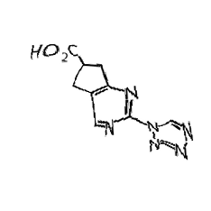 O=C(O)C1Cc2cnc(-n3cnnn3)nc2C1